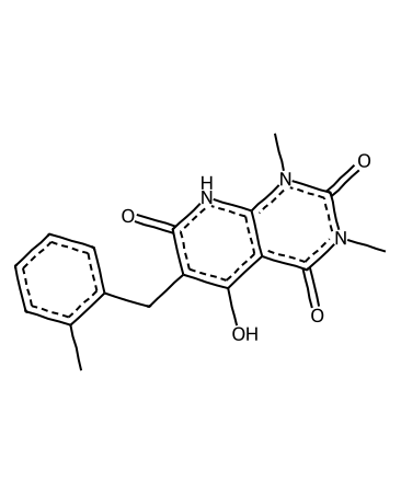 Cc1ccccc1Cc1c(O)c2c(=O)n(C)c(=O)n(C)c2[nH]c1=O